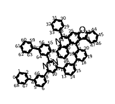 c1ccc(-c2cccc(-c3cc(-c4cccc(-c5cccc(-c6c7c(cc8c(-c9ccccc9)nc9ccccc9c68)oc6ccccc67)c5)c4)nc(-c4cccc(-c5ccccc5)c4)n3)c2)cc1